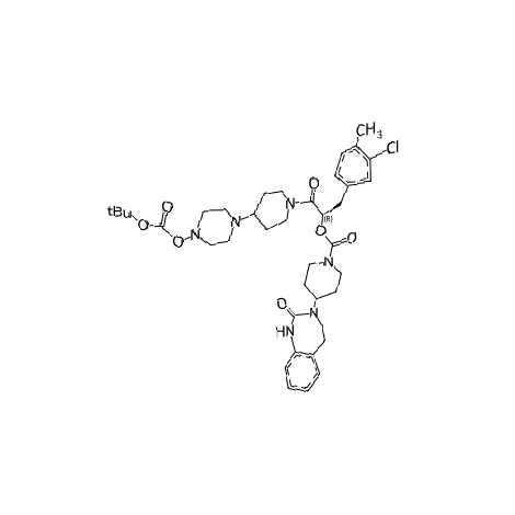 Cc1ccc(C[C@@H](OC(=O)N2CCC(N3CCc4ccccc4NC3=O)CC2)C(=O)N2CCC(N3CCN(OC(=O)OC(C)(C)C)CC3)CC2)cc1Cl